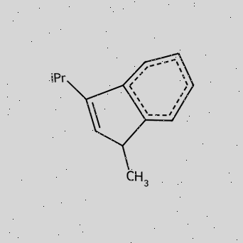 CC(C)C1=CC(C)c2ccccc21